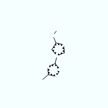 CCOC(=O)Oc1cn(-c2nnc(C)s2)cn1